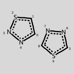 c1csnn1.c1nncs1